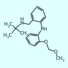 COCOc1ccccc1Pc1ccccc1CNC(C)(C)C